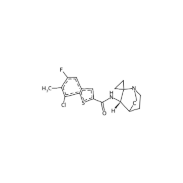 Cc1c(F)cc2cc(C(=O)N[C@H]3C4CCN(CC4)C34CC4)sc2c1Cl